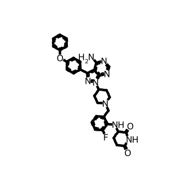 Nc1ncnc2c1c(-c1ccc(Oc3ccccc3)cc1)nn2C1CCN(Cc2cccc(F)c2NC2CCC(=O)NC2=O)CC1